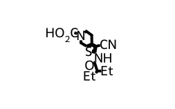 CCC(CC)C(=O)Nc1sc2c(c1C#N)CCN(C(=O)O)C2